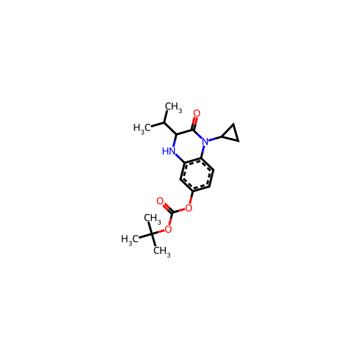 CC(C)C1Nc2cc(OC(=O)OC(C)(C)C)ccc2N(C2CC2)C1=O